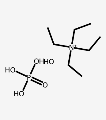 CC[N+](CC)(CC)CC.O=P(O)(O)O.[OH-]